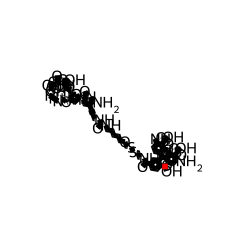 [N-]=[N+]=NCO[C@@H]1C[C@H](n2cc(C#CCNC(=O)NCCCCCOCSSCCNC(=O)c3ccc(C(=O)O)c(-c4c5ccc(=N)c(S(=O)(=O)O)c-5oc5c(S(=O)(=O)O)c(N)ccc45)c3)c(N)nc2=O)O[C@@H]1COP(=O)(O)OP(=O)(O)OP(=O)(O)O